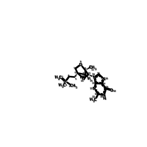 C=P(C)(C)CC[C@]12CO[C@](C)([C@@H]1O)[C@H](n1cnc3c(=O)[nH]c(C)nc31)O2